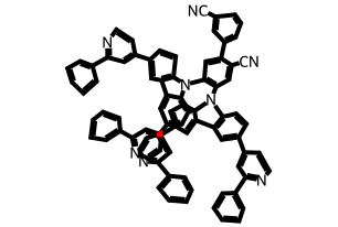 N#Cc1cccc(-c2cc(-n3c4ccc(-c5ccnc(-c6ccccc6)c5)cc4c4cc(-c5ccnc(-c6ccccc6)c5)ccc43)c(-n3c4ccc(-c5ccnc(-c6ccccc6)c5)cc4c4cc(-c5ccnc(-c6ccccc6)c5)ccc43)cc2C#N)c1